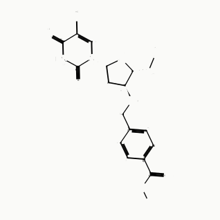 COC(=O)c1ccc(CO[C@H]2C[C@H](n3cc(F)c(=O)[nH]c3=O)O[C@@H]2CO)cc1